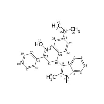 Cc1[nH]c2ccccc2c1C(C/C(=N/O)c1ccncc1)c1ccc(N(C)C)cc1